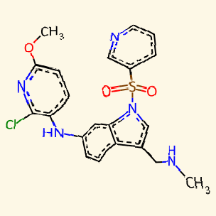 CNCc1cn(S(=O)(=O)c2cccnc2)c2cc(Nc3ccc(OC)nc3Cl)ccc12